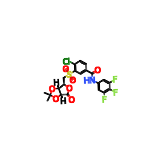 CC1(C)O[C@@H]2[C@@H](CS(=O)(=O)c3cc(C(=O)Nc4cc(F)c(F)c(F)c4)ccc3Cl)OC(=O)[C@@H]2O1